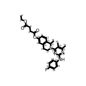 CCOC(=O)CCC(=O)Oc1ccc2c(c1)CCN(c1nc(Nc3ccc(F)cc3)nc(C)c1C)C2C